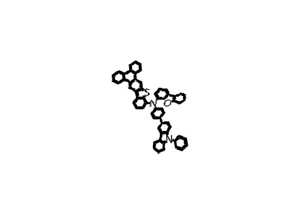 c1ccc(-n2c3ccccc3c3cc(-c4ccc(N(c5cccc6c5oc5ccccc56)c5cccc6c5sc5cc7c8ccccc8c8ccccc8c7cc56)cc4)ccc32)cc1